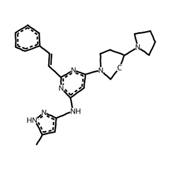 Cc1cc(Nc2cc(N3CCC(N4CCCC4)CC3)nc(C=Cc3ccccc3)n2)n[nH]1